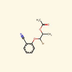 CC(=O)OC(C)C(Br)Oc1ccccc1C#N